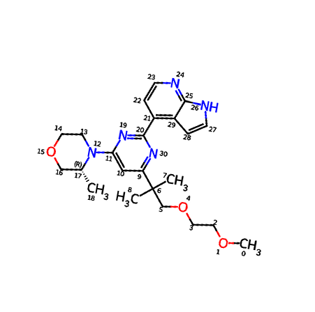 COCCOCC(C)(C)c1cc(N2CCOC[C@H]2C)nc(-c2ccnc3[nH]ccc23)n1